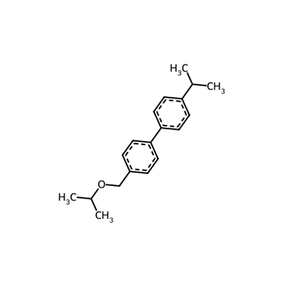 CC(C)OCc1ccc(-c2ccc(C(C)C)cc2)cc1